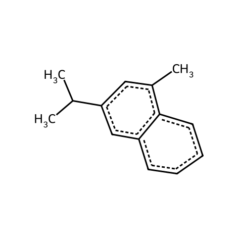 Cc1cc(C(C)C)cc2ccccc12